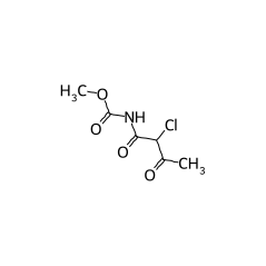 COC(=O)NC(=O)C(Cl)C(C)=O